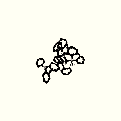 C[N+]1(c2nc(-c3ccccc3)nc(-c3ccc4c5ccccc5n(-c5ccccc5)c4c3)n2)c2ccccc2-c2ccc3c4ccccc4n(-c4cccc(-c5ccccc5)c4)c3c21